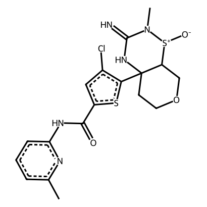 Cc1cccc(NC(=O)c2cc(Cl)c(C34CCOCC3[S+]([O-])N(C)C(=N)N4)s2)n1